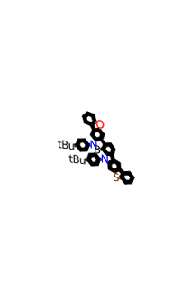 CC(C)(C)c1ccc(N2B3c4cc(C(C)(C)C)ccc4-n4c5cc6sc7ccccc7c6cc5c5ccc(c3c54)-c3cc4oc5ccccc5c4cc32)cc1